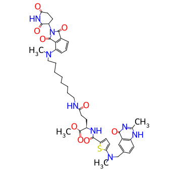 COC(=O)[C@@H](CCC(=O)NCCCCCCCCN(C)c1cccc2c1C(=O)N(C1CCC(=O)NC1=O)C2=O)NC(=O)c1ccc(N(C)Cc2ccc3[nH]c(C)nc(=O)c3c2)s1